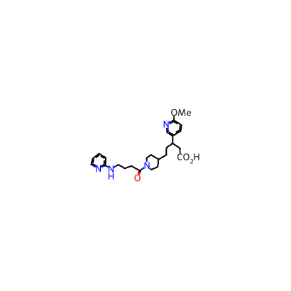 COc1ccc(C(CCC2CCN(C(=O)CCCNc3ccccn3)CC2)CC(=O)O)cn1